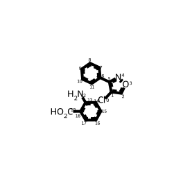 Clc1conc1-c1ccccc1.Nc1ccccc1C(=O)O